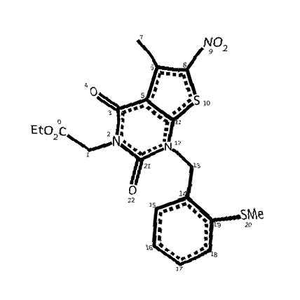 CCOC(=O)Cn1c(=O)c2c(C)c([N+](=O)[O-])sc2n(Cc2ccccc2SC)c1=O